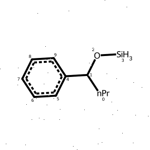 CCCC(O[SiH3])c1ccccc1